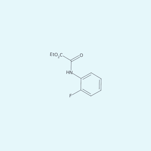 CCOC(=O)C(=O)Nc1ccccc1F